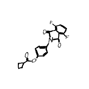 O=C(Oc1ccc(N2C(=O)c3c(F)ccc(F)c3C2=O)cc1)C1CCC1